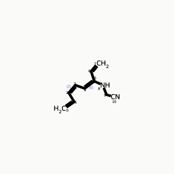 C=C/C=C\C=C(/C=C)NCC#N